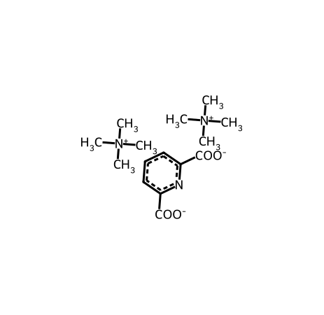 C[N+](C)(C)C.C[N+](C)(C)C.O=C([O-])c1cccc(C(=O)[O-])n1